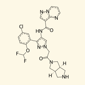 O=C(Nc1cn(CC(=O)N2C[C@H]3CNC[C@H]3C2)nc1-c1cc(Cl)ccc1OC(F)F)c1cnn2cccnc12